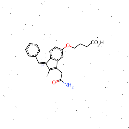 CC1=C(CC(N)=O)c2cc(OCCCC(=O)O)ccc2/C1=C\c1ccccc1